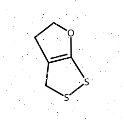 C1CC2=C(O1)SSC2